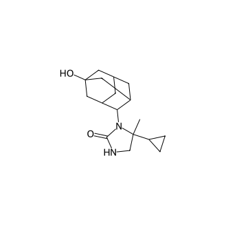 CC1(C2CC2)CNC(=O)N1C1C2CC3CC1CC(O)(C3)C2